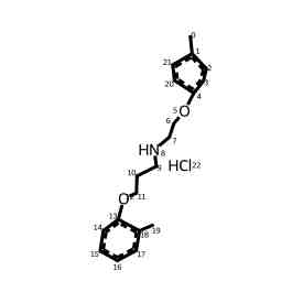 Cc1ccc(OCCNCCCOc2ccccc2C)cc1.Cl